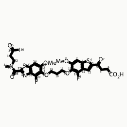 COc1cc2sc(C(=O)CCC(=O)O)cc2c(F)c1OCCCOc1c(OC)cc2sc(C(=O)N(C)CCC(=O)I)nc2c1F